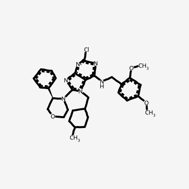 COc1ccc(CNc2nc(Cl)nc3nc(N4CCOC[C@H]4c4ccccc4)n(CC4CCC(C)CC4)c23)c(OC)c1